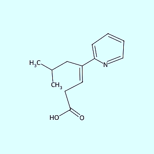 CC(C)CC(=CCC(=O)O)c1ccccn1